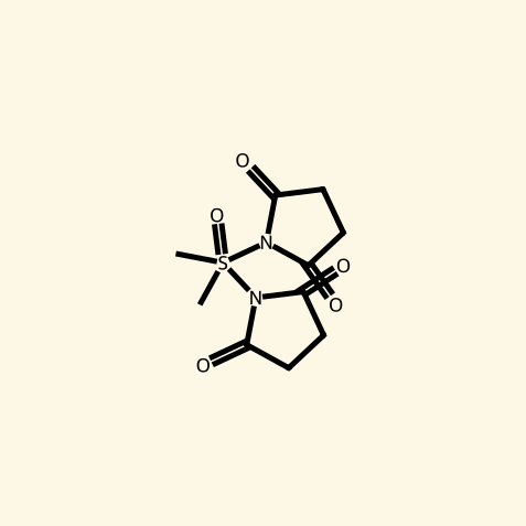 CS(C)(=O)(N1C(=O)CCC1=O)N1C(=O)CCC1=O